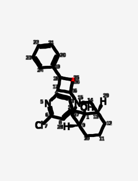 O[C@@]1(c2ccnc(Cl)c2)[C@@H]2CCC[C@H]1CN(C13CC(c4ccccc4)(C1)C3)C2